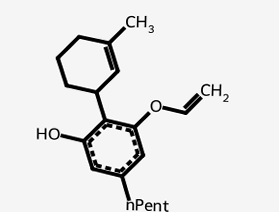 C=COc1cc(CCCCC)cc(O)c1C1C=C(C)CCC1